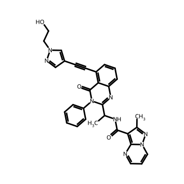 Cc1nn2cccnc2c1C(=O)NC(C)c1nc2cccc(C#Cc3cnn(CCO)c3)c2c(=O)n1-c1ccccc1